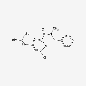 CCCC(Nc1cc(C(=O)N(C)Cc2ccccc2)nc(Cl)n1)C(C)(C)C